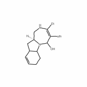 CCCC1=C(CC)NC[C@@H]2CC3C=CCCC3N2C1O